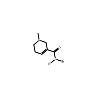 CCN(CC)C(=O)C1=CCCN(C)C1